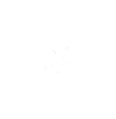 Fc1nc(Cl)c(Cl)c(F)c1F